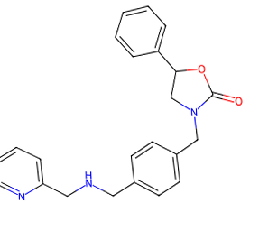 O=C1OC(c2ccccc2)CN1Cc1ccc(CNCc2ccccn2)cc1